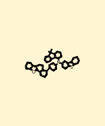 CC1(C)c2ccccc2-c2c(N(c3ccc(-c4cccc5c4ccc4c6ccccc6oc54)cc3)c3ccc4sc5ccccc5c4c3)cccc21